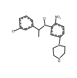 CC(c1cccc(Cl)c1)N(Cl)c1cc(N2CCNCC2)ccc1[N+](=O)[O-]